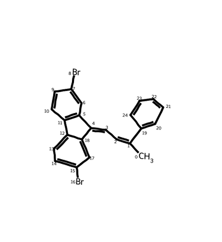 CC(=CC=C1c2cc(Br)ccc2-c2ccc(Br)cc21)c1ccccc1